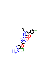 C=CCn1cc(-c2ccc(F)cc2)c(=O)c(C(=O)Nc2ncc(Oc3ccnc(N)c3Cl)cn2)n1